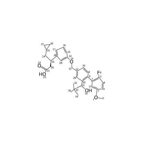 COc1ccc(F)c(-c2ccc(COc3cccc([C@@H](CC(=O)O)CC4CC4)c3)cc2C(O)C(C)(C)C)c1